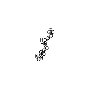 Cc1c(S(=O)(=O)N2CCC3(CC2)C[C@@H](NC[C@H](O)COc2cccc(S(=O)(=O)C4CC4)c2)CO3)cnc2c1N(C)CCO2